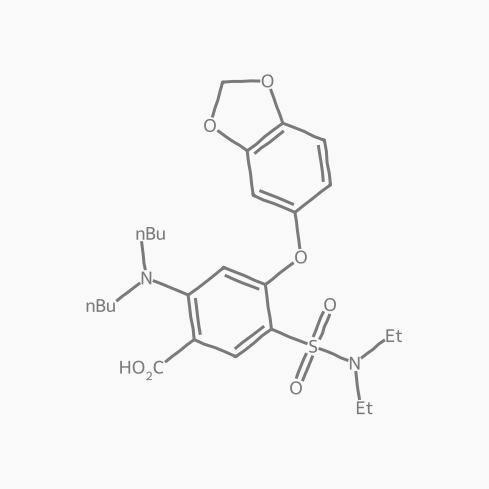 CCCCN(CCCC)c1cc(Oc2ccc3c(c2)OCO3)c(S(=O)(=O)N(CC)CC)cc1C(=O)O